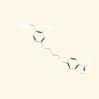 CCCc1cc(NCCCOc2ccc3c(Cl)noc3c2CCC)ccc1CC(=O)O